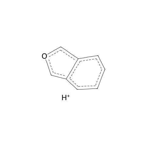 [H+].c1ccc2cocc2c1